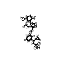 COc1ccc(F)c(-n2cnc(COc3cccc(C(CC(=O)O)C4CC4)c3)c2CC(C)C)c1